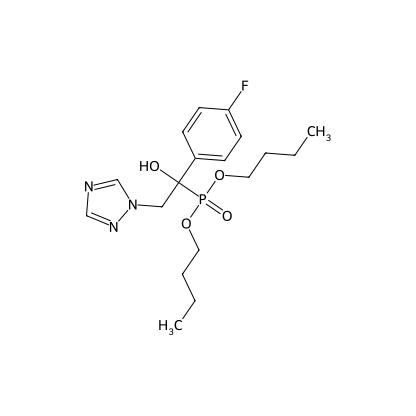 CCCCOP(=O)(OCCCC)C(O)(Cn1cncn1)c1ccc(F)cc1